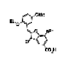 CCCc1cc(C(=O)O)cc2c1OC(=Cc1cc(OC)ccc1OCC)C2=O